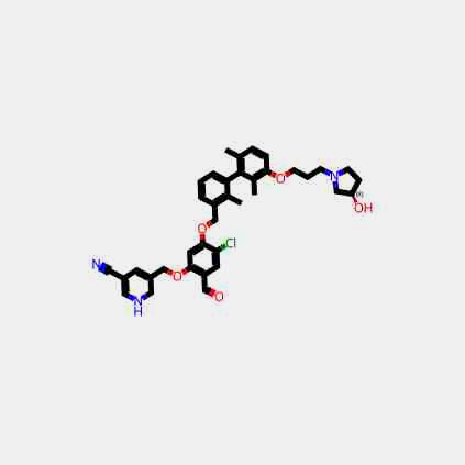 Cc1ccc(OCCCN2CC[C@@H](O)C2)c(C)c1-c1cccc(COc2cc(OCC3=CC(C#N)=CNC3)c(C=O)cc2Cl)c1C